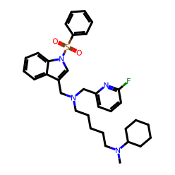 CN(CCCCCN(Cc1cccc(F)n1)Cc1cn(S(=O)(=O)c2ccccc2)c2ccccc12)C1CCCCC1